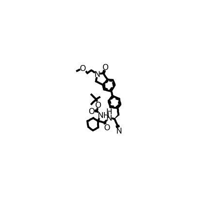 COCCN1Cc2cc(-c3ccc(C[C@@H](C#N)NC(=O)C4(NC(=O)OC(C)(C)C)CCCCC4)cc3)ccc2C1=O